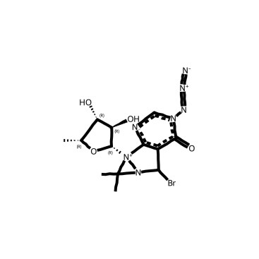 C[C@H]1O[C@@H]([N+]23c4ncn(N=[N+]=[N-])c(=O)c4C(Br)N2C3(C)C)[C@H](O)[C@H]1O